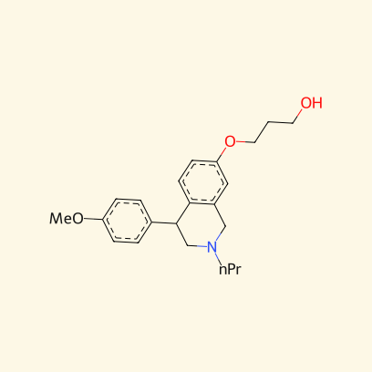 CCCN1Cc2cc(OCCCO)ccc2C(c2ccc(OC)cc2)C1